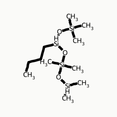 CCCC[SiH](O[Si](C)(C)C)O[Si](C)(C)O[SiH](C)C